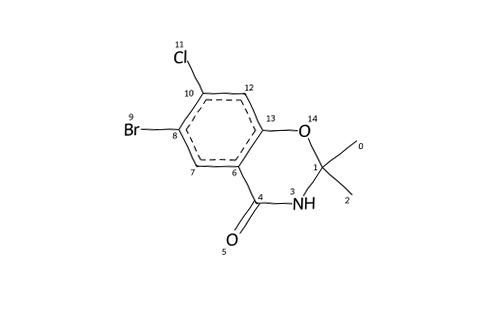 CC1(C)NC(=O)c2cc(Br)c(Cl)cc2O1